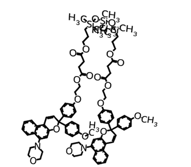 COc1ccc(C2(c3ccc(OCCOC(=O)CCC(=O)OCCC[Si](C)(C)O[Si](C)(C)O[Si](C)(C)CCCOC(=O)CCC(=O)OCCOc4ccc(C5(c6ccc(OC)cc6)C=Cc6c(cc(N7CCOCC7)c7ccccc67)O5)cc4)cc3)C=Cc3c(cc(N4CCOCC4)c4ccccc34)O2)cc1